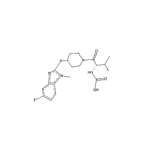 CC(C)[C@H](NC(=O)O)C(=O)N1CCC(Oc2nc3cc(F)ccc3n2C)CC1